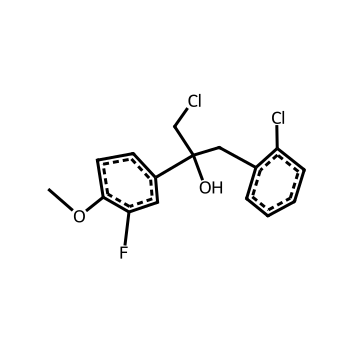 COc1ccc(C(O)(CCl)Cc2ccccc2Cl)cc1F